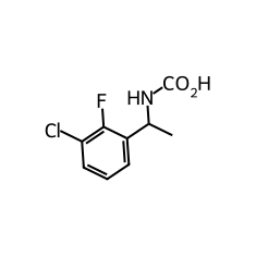 CC(NC(=O)O)c1cccc(Cl)c1F